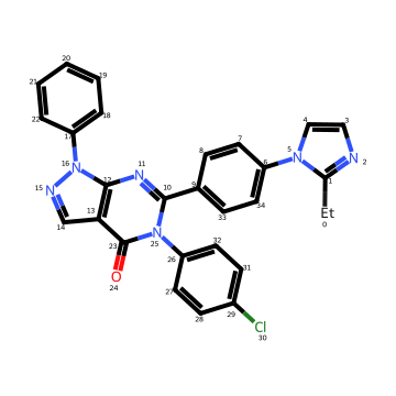 CCc1nccn1-c1ccc(-c2nc3c(cnn3-c3ccccc3)c(=O)n2-c2ccc(Cl)cc2)cc1